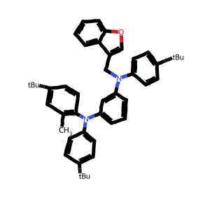 Cc1cc(C(C)(C)C)ccc1N(c1ccc(C(C)(C)C)cc1)c1cccc(N(Cc2coc3ccccc23)c2ccc(C(C)(C)C)cc2)c1